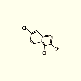 [O]c1ccc2cc(Cl)ccc2c1Cl